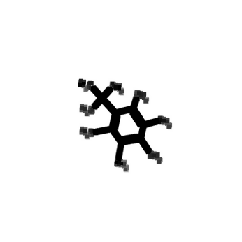 Bc1c(B)c(B)c(C(B)(B)C)c(B)c1B